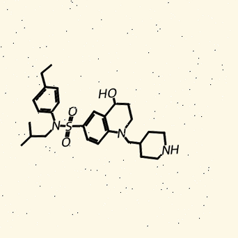 CCc1ccc(N(CC(C)C)S(=O)(=O)c2ccc3c(c2)C(O)CCN3CC2CCNCC2)cc1